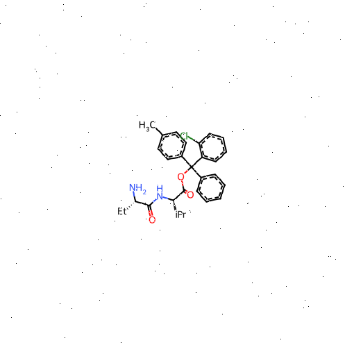 CC[C@H](N)C(=O)N[C@@H](C(=O)OC(c1ccccc1)(c1ccc(C)cc1)c1ccccc1Cl)C(C)C